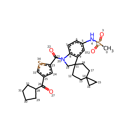 CS(=O)(=O)Nc1ccc2c(c1)C1(CCC3(CC3)CC1)CN2C(=O)c1cc(C(=O)C2CCCC2)cs1